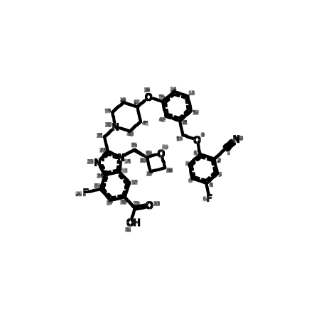 N#Cc1cc(F)ccc1OCc1cccc(OC2CCN(Cc3nc4c(F)cc(C(=O)O)cc4n3C[C@@H]3CCO3)CC2)c1